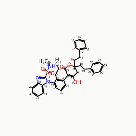 CCCc1c(C2=C(O)CC(CCc3ccccc3)(CCc3ccccc3)OC2=O)cccc1-n1c(S(=O)(=O)NC)nc2ccccc21